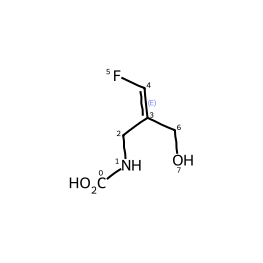 O=C(O)NC/C(=C\F)CO